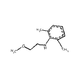 COCCNc1c(C)cccc1C